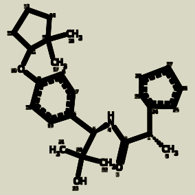 C[C@H](C(=O)N[C@H](c1ccc(OC2CCCC2(C)C)cc1)C(C)(C)O)c1ccccc1